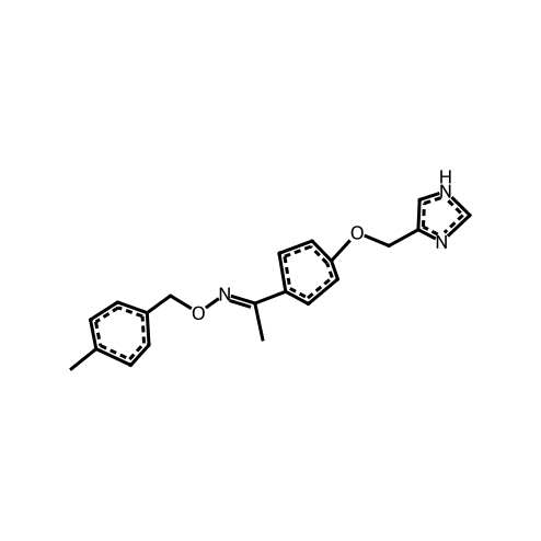 C/C(=N\OCc1ccc(C)cc1)c1ccc(OCc2c[nH]cn2)cc1